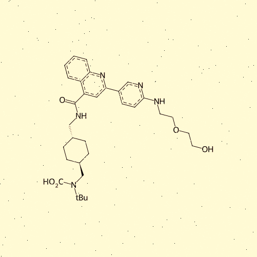 CC(C)(C)N(C[C@H]1CC[C@H](CNC(=O)c2cc(-c3ccc(NCCOCCO)nc3)nc3ccccc23)CC1)C(=O)O